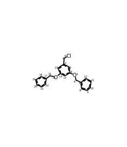 ClCc1cc(OCc2ccccc2)cc(OCc2ccccc2)c1